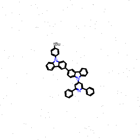 CC(C)(C)c1ccc(-n2c3ccccc3c3cc(-c4ccc5c(c4)c4ccccc4n5-c4cc(-c5ccccc5)nc(-c5ccccc5)c4)ccc32)cc1